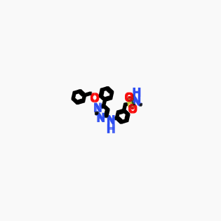 CNS(=O)(=O)Cc1cccc(Nc2cc(-c3ccccc3OCC3=CCCC=C3)ncn2)c1